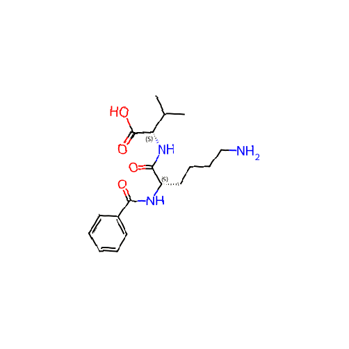 CC(C)[C@H](NC(=O)[C@H](CCCCN)NC(=O)c1ccccc1)C(=O)O